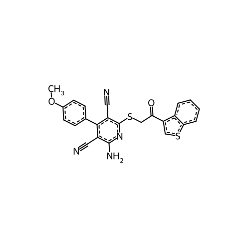 COc1ccc(-c2c(C#N)c(N)nc(SCC(=O)c3csc4ccccc34)c2C#N)cc1